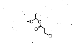 [CH2]C(O)OC(=O)CCCl